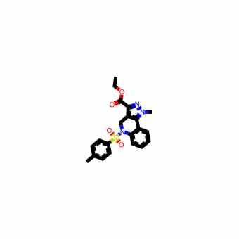 CCOC(=O)c1nn(C)c2c1CN(S(=O)(=O)c1ccc(C)cc1)c1ccccc1-2